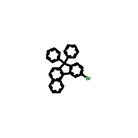 Brc1ccc2c(c1)-c1c(ccc3ccccc13)C2(c1ccccc1)c1ccccc1